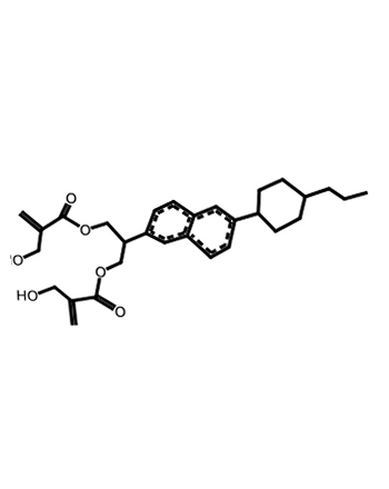 C=C(CO)C(=O)OCC(COC(=O)C(=C)CO)c1ccc2cc(C3CCC(CCC)CC3)ccc2c1